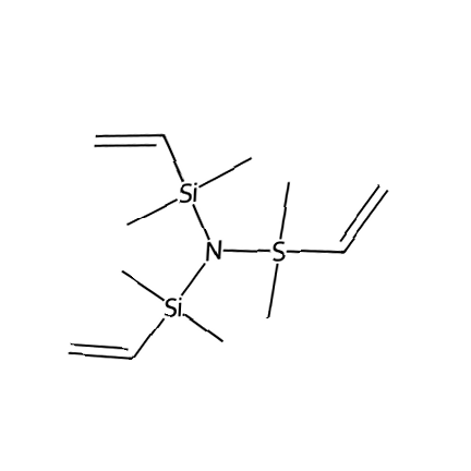 C=C[Si](C)(C)N([Si](C)(C)C=C)S(C)(C)C=C